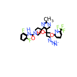 Cc1ncc(C(O)(CCN=[N+]=[N-])COc2cccc(C(F)(F)F)n2)c(C2CCN(C(=O)Nc3c(F)cccc3F)CC2)n1